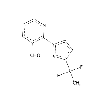 CC(F)(F)c1ccc(-c2ncccc2C=O)s1